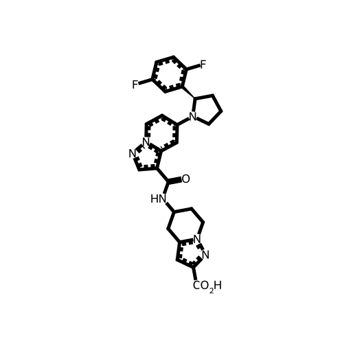 O=C(O)c1cc2n(n1)CCC(NC(=O)c1cnn3ccc(N4CCC[C@@H]4c4cc(F)ccc4F)cc13)C2